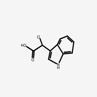 O=C(O)C(Cl)c1c[nH]c2ccccc12